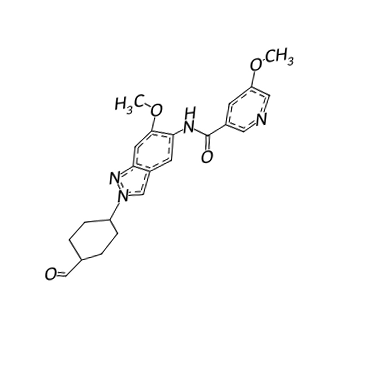 COc1cncc(C(=O)Nc2cc3cn(C4CCC(C=O)CC4)nc3cc2OC)c1